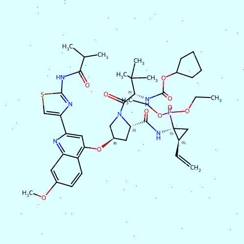 C=C[C@@H]1C[C@]1(NC(=O)[C@@H]1C[C@@H](Oc2cc(-c3csc(NC(=O)C(C)C)n3)nc3cc(OC)ccc23)CN1C(=O)[C@@H](NC(=O)OC1CCCC1)C(C)(C)C)P(=O)(OCC)OCC